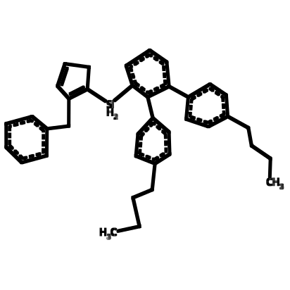 CCCCc1ccc(-c2cccc([SiH2]C3=C(Cc4ccccc4)C=CC3)c2-c2ccc(CCCC)cc2)cc1